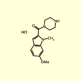 COc1ccc2cc(C(=O)N3CCNCC3)n(C)c2c1.Cl